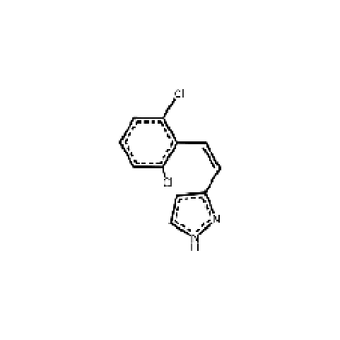 Clc1cccc(Cl)c1/C=C\c1cc[nH]n1